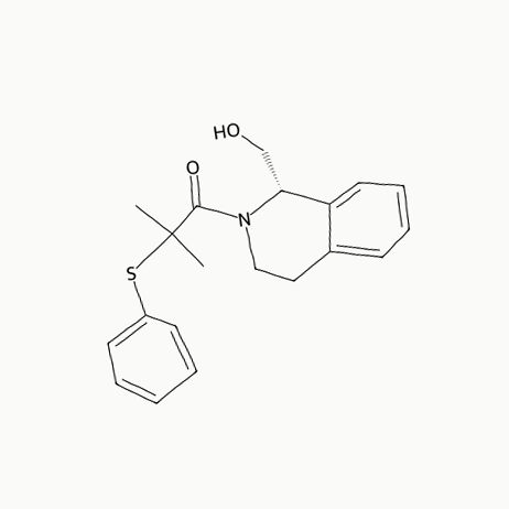 CC(C)(Sc1ccccc1)C(=O)N1CCc2ccccc2[C@H]1CO